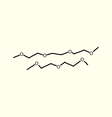 COCCOCCOC.COCCOCCOCCOC